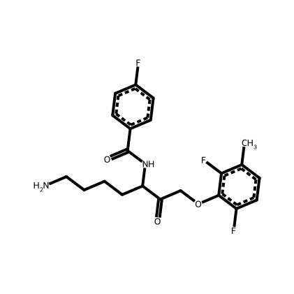 Cc1ccc(F)c(OCC(=O)C(CCCCN)NC(=O)c2ccc(F)cc2)c1F